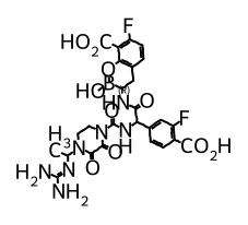 CC(N=C(N)N)N1CCN(C(=O)NC(C(=O)N[C@H]2Cc3ccc(F)c(C(=O)O)c3OB2O)c2ccc(C(=O)O)c(F)c2)C(=O)C1=O